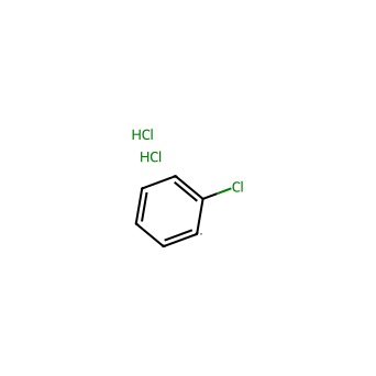 Cl.Cl.Clc1[c]cccc1